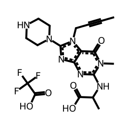 CC#CCn1c(N2CCNCC2)nc2nc(NC(C)C(=O)O)n(C)c(=O)c21.O=C(O)C(F)(F)F